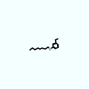 [CH2]Cc1cccc(OCCCCCCCC)c1